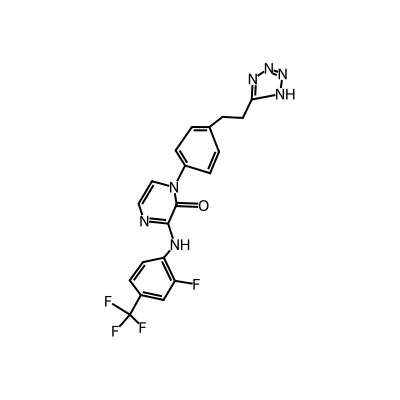 O=c1c(Nc2ccc(C(F)(F)F)cc2F)nccn1-c1ccc(CCc2nnn[nH]2)cc1